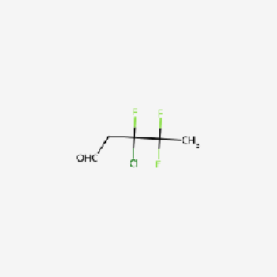 CC(F)(F)C(F)(Cl)CC=O